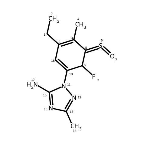 CCC1=C(C)C(=S=O)C(F)C(n2nc(C)nc2N)=C1